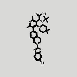 Cc1nc(C)c([C@H](OC(C)(C)C)C(=O)O)c(N2CCC(C)(C)CC2)c1-c1ccc2c(c1)CCN(c1nc3ccc(Cl)cc3s1)C2